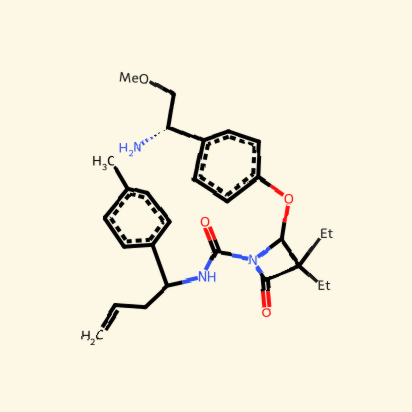 C=CCC(NC(=O)N1C(=O)C(CC)(CC)C1Oc1ccc([C@H](N)COC)cc1)c1ccc(C)cc1